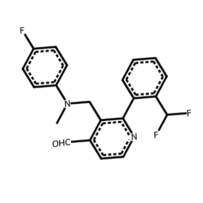 CN(Cc1c(C=O)ccnc1-c1ccccc1C(F)F)c1ccc(F)cc1